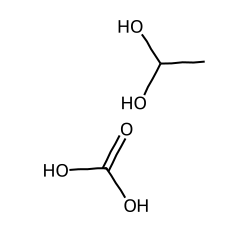 CC(O)O.O=C(O)O